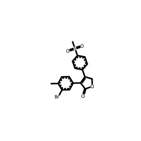 Cc1ccc(C2=C(c3ccc(S(C)(=O)=O)cc3)COC2=O)cc1Br